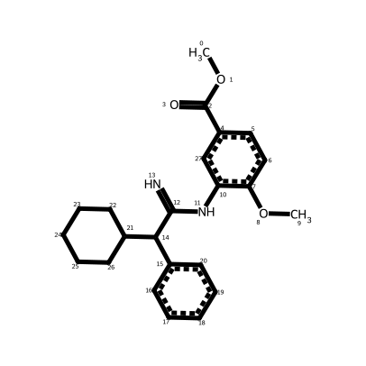 COC(=O)c1ccc(OC)c(NC(=N)C(c2ccccc2)C2CCCCC2)c1